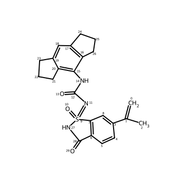 C=C(C)c1ccc2c(c1)S(=O)(=NC(=O)Nc1c3c(cc4c1CCC4)CCC3)NC2=O